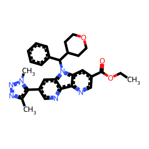 CCOC(=O)c1cnc2c3ncc(-c4c(C)nnn4C)cc3n(C(c3ccccc3)C3CCOCC3)c2c1